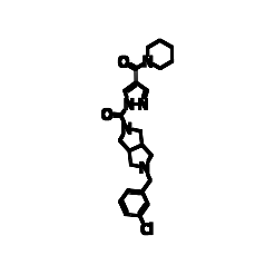 O=C(c1cnn(C(=O)N2CC3CN(Cc4cccc(Cl)c4)CC3C2)c1)N1CCCCC1